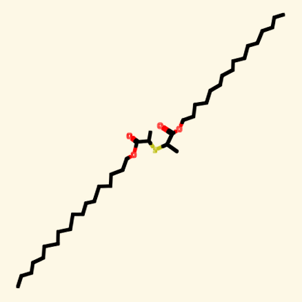 CCCCCCCCCCCCCCCCCCOC(=O)C(C)SC(C)C(=O)OCCCCCCCCCCCCCCCC